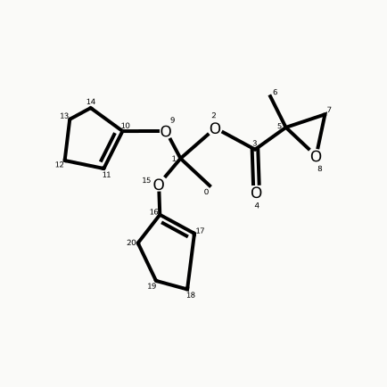 CC(OC(=O)C1(C)CO1)(OC1=CCCC1)OC1=CCCC1